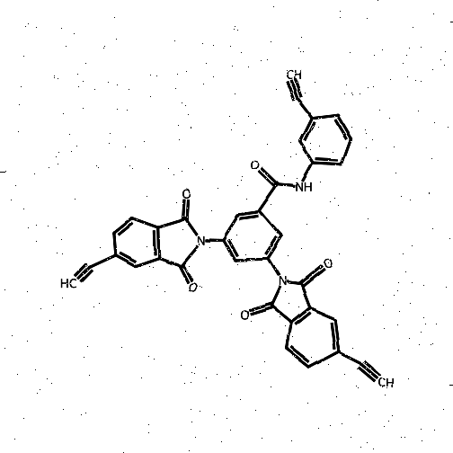 C#Cc1cccc(NC(=O)c2cc(N3C(=O)c4ccc(C#C)cc4C3=O)cc(N3C(=O)c4ccc(C#C)cc4C3=O)c2)c1